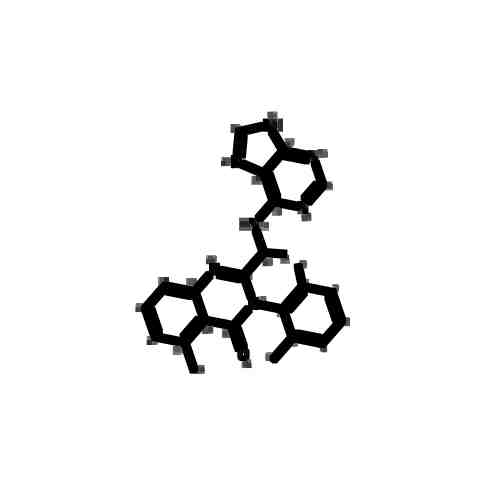 Cc1cccc(C)c1-n1c(C(C)Nc2ncnc3[nH]cnc23)nc2cccc(C)c2c1=O